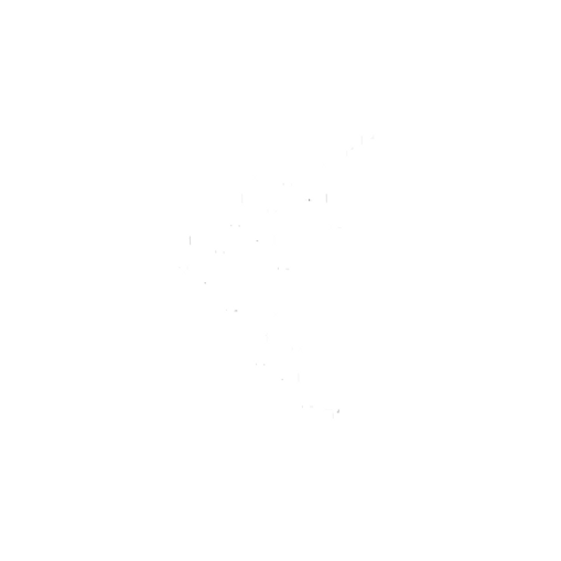 O=P([O-])([O-])OP(=O)([O-])O.O=P([O-])([O-])OP(=O)([O-])O.O=P([O-])([O-])OP(=O)([O-])O.O=P([O-])([O-])OP(=O)([O-])O.[Ti+4].[Ti+4].[Ti+4]